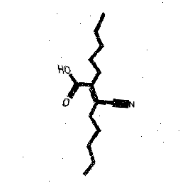 CCCCC/C(C#N)=C(/CCCCC)C(=O)O